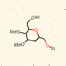 CCOCC1CC(OC)C(OC)C(COC(C)=O)O1